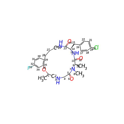 C[C@@H]1CNCC(=O)N(C)[C@H](C)C(=O)N[C@H](Cc2ccc(Cl)cc2)C(=O)NCCCc2ccc(F)cc2O1